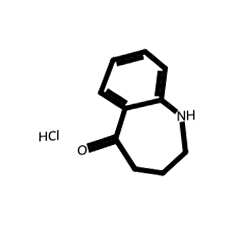 Cl.O=C1CCCNc2ccccc21